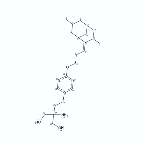 CC1CC2CC(C)/C(=C/CCOc3ccc(CCC(N)(CO)CO)cc3)C(C1)C2